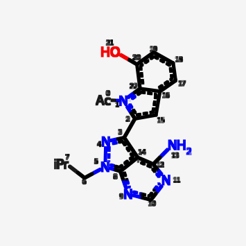 CC(=O)n1c(-c2nn(CC(C)C)c3ncnc(N)c23)cc2cccc(O)c21